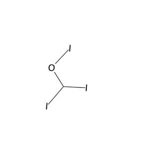 IOC(I)I